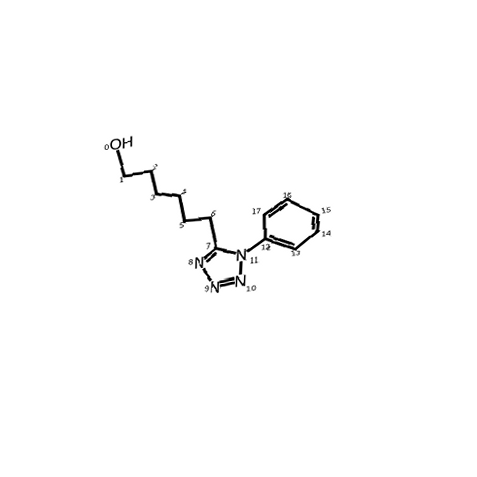 OCCCCCCc1nnnn1-c1ccccc1